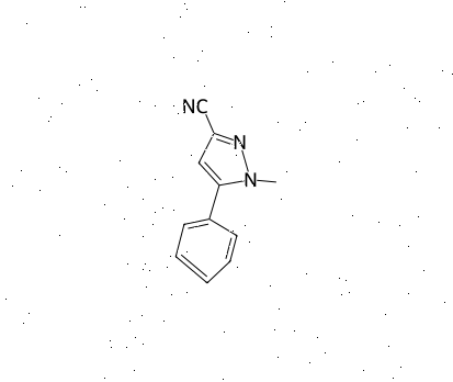 Cn1nc(C#N)cc1-c1ccccc1